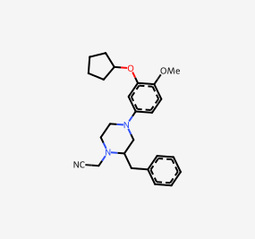 COc1ccc(N2CCN(CC#N)C(Cc3ccccc3)C2)cc1OC1CCCC1